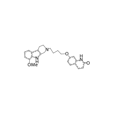 COc1cccc2c3c([nH]c12)CN(CCCCOc1ccc2ccc(=O)[nH]c2c1)CC3